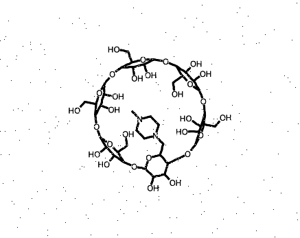 CN1CCN(CC2OC3OC4C(CO)OC(OC5C(CO)OC(OC6C(CO)OC(OC7C(CO)OC(OC8C(CO)OC(OC2C(O)C3O)C(O)C8O)C(O)C7O)C(O)C6O)C(O)C5O)C(O)C4O)CC1